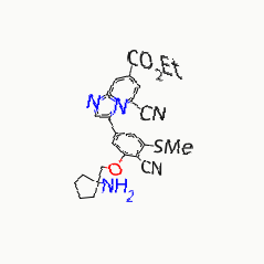 CCOC(=O)c1cc(C#N)n2c(-c3cc(OCC4(N)CCCC4)c(C#N)c(SC)c3)cnc2c1